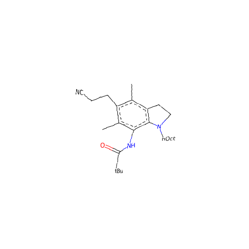 CCCCCCCCN1CCc2c(C)c(CCC#N)c(C)c(NC(=O)C(C)(C)C)c21